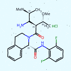 CN[C@@H](C)C(N)[C@H](C(=O)N1CCc2ccccc2[C@H]1C(=O)Nc1c(F)cccc1F)[C@@H](C)OC.Cl